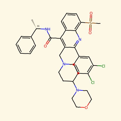 C[C@H](NC(=O)c1c(CN2CCC(N3CCOCC3)CC2)c(-c2ccc(Cl)c(Cl)c2)nc2c(S(C)(=O)=O)cccc12)c1ccccc1